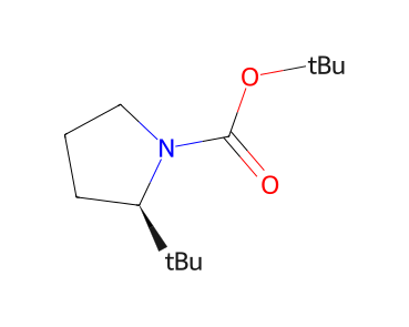 CC(C)(C)OC(=O)N1CCC[C@@H]1C(C)(C)C